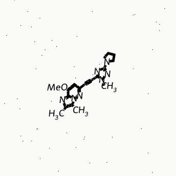 COc1cc(C#Cc2nc(N3CCCC3)nn2C)nn2c(C)c(C)nc12